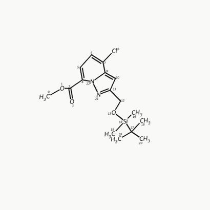 COC(=O)c1ccc(Cl)c2cc(CO[Si](C)(C)C(C)(C)C)nn12